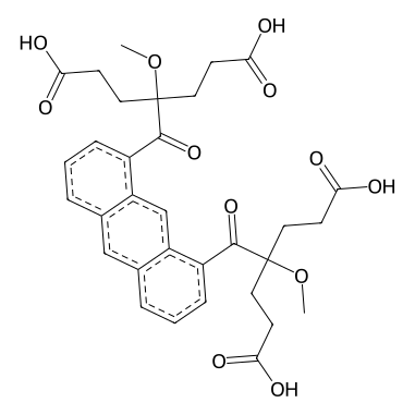 COC(CCC(=O)O)(CCC(=O)O)C(=O)c1cccc2cc3cccc(C(=O)C(CCC(=O)O)(CCC(=O)O)OC)c3cc12